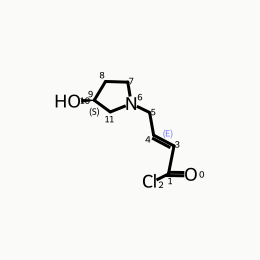 O=C(Cl)/C=C/CN1CC[C@H](O)C1